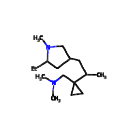 CCC1CC(CC(C)C2(CN(C)C)CC2)CN1C